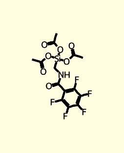 CC(=O)O[Si](CNC(=O)c1c(F)c(F)c(F)c(F)c1F)(OC(C)=O)OC(C)=O